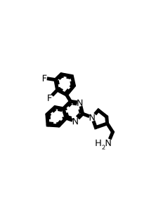 NCC1CCN(c2nc(-c3cccc(F)c3F)c3ccccc3n2)C1